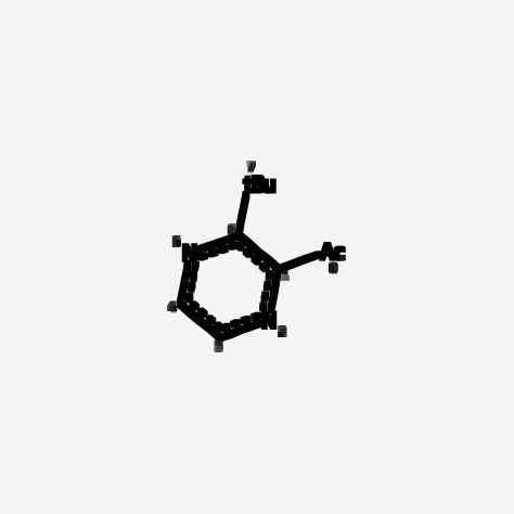 CC(=O)c1nccnc1C(C)(C)C